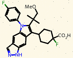 COCC(C)(C)c1c(C2CCC(F)(C(=O)O)CC2)c2cc3[nH]ncc3cc2n1-c1ccc(F)cc1